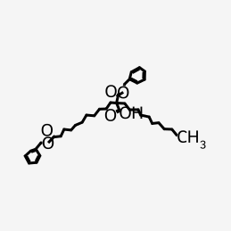 CCCCCCCCCCCC(CCCCCCCCCCC(=O)OCc1ccccc1)(C(=O)O)C(=O)OCc1ccccc1